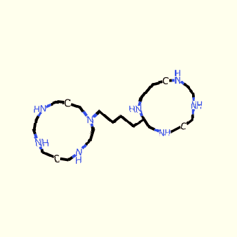 C1CNCCNCCCN(CCCCC2CNCCCNCCNCCCN2)CCNC1